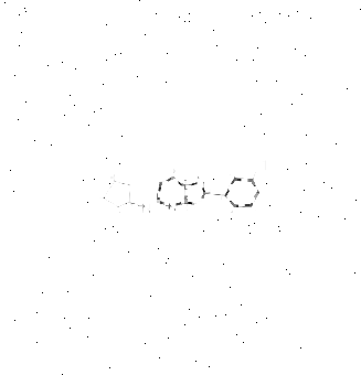 Clc1cccc(-c2nc3ccc(NC4CCCC4)nc3o2)c1